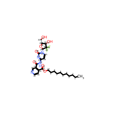 CCCCCCCCCCCOC(=O)c1ccncc1C(=O)Nc1ccn([C@@H]2O[C@H](CO)[C@@H](O)C2(F)F)c(=O)n1